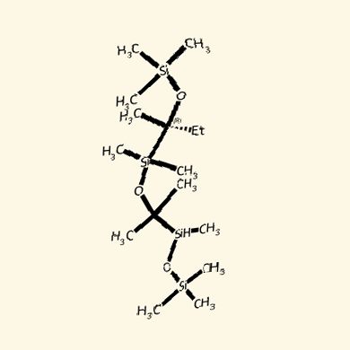 CC[C@](C)(O[Si](C)(C)C)[Si](C)(C)OC(C)(C)[SiH](C)O[Si](C)(C)C